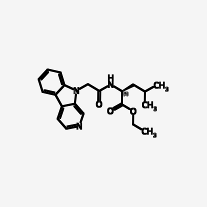 CCOC(=O)[C@H](CC(C)C)NC(=O)Cn1c2ccccc2c2ccncc21